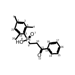 Cc1cc(C)c(P(=O)(O)CCC(=O)c2ccccc2)c(C)c1